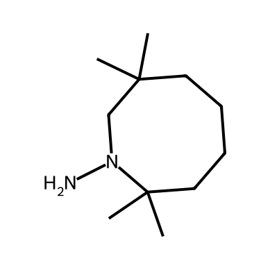 CC1(C)CCCCC(C)(C)N(N)C1